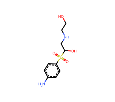 Nc1ccc(S(=O)(=O)C(O)CNCCO)cc1